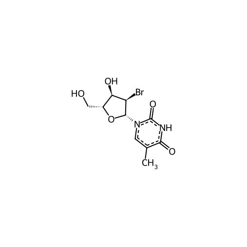 Cc1cn([C@@H]2O[C@H](CO)[C@@H](O)[C@H]2Br)c(=O)[nH]c1=O